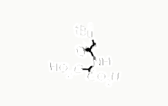 CC(C)(C)CC(=O)NC(C(=O)O)C(=O)O